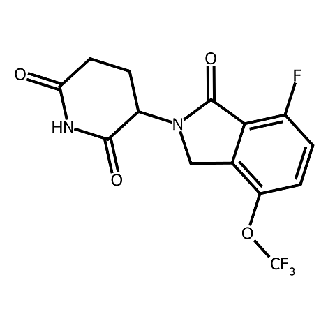 O=C1CCC(N2Cc3c(OC(F)(F)F)ccc(F)c3C2=O)C(=O)N1